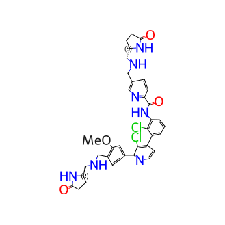 COc1cc(-c2nccc(-c3cccc(NC(=O)c4ccc(CNC[C@@H]5CCC(=O)N5)cn4)c3Cl)c2Cl)ccc1CNC[C@H]1CCC(=O)N1